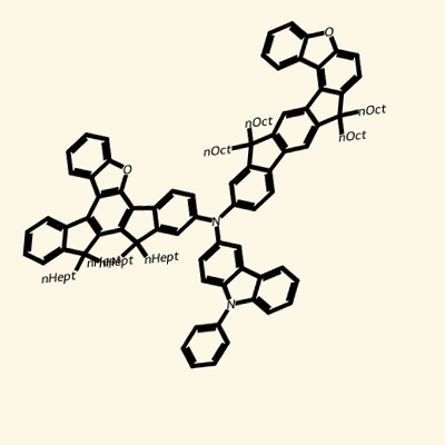 CCCCCCCCC1(CCCCCCCC)c2cc(N(c3ccc4c(c3)C(CCCCCCC)(CCCCCCC)c3c5c(c6c(oc7ccccc76)c3-4)-c3ccccc3C5(CCCCCCC)CCCCCCC)c3ccc4c(c3)c3ccccc3n4-c3ccccc3)ccc2-c2cc3c(cc21)-c1c(ccc2oc4ccccc4c12)C3(CCCCCCCC)CCCCCCCC